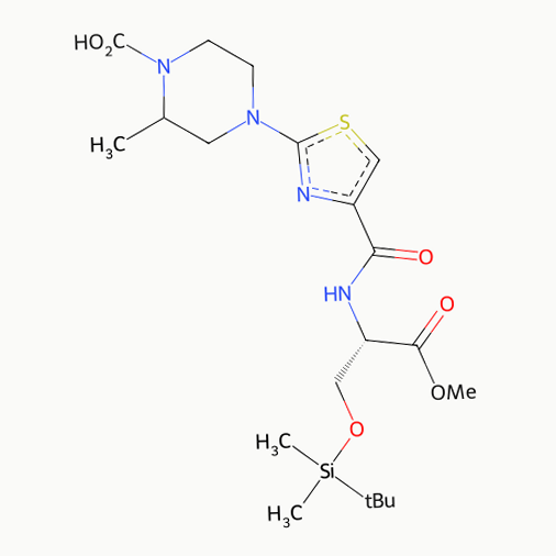 COC(=O)[C@H](CO[Si](C)(C)C(C)(C)C)NC(=O)c1csc(N2CCN(C(=O)O)C(C)C2)n1